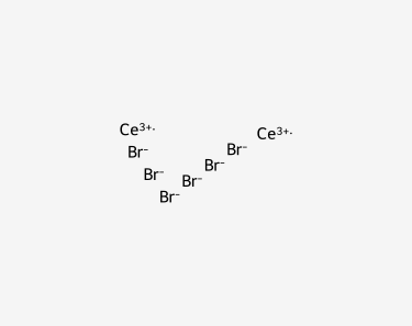 [Br-].[Br-].[Br-].[Br-].[Br-].[Br-].[Ce+3].[Ce+3]